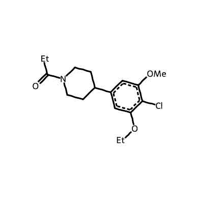 CCOc1cc(C2CCN(C(=O)CC)CC2)cc(OC)c1Cl